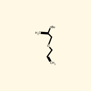 C=CCOCC(=C)CCCC